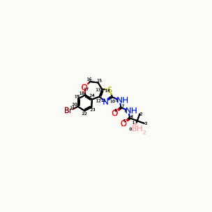 BC(C)(C)C(=O)NC(=O)Nc1nc2c(s1)CCOc1cc(Br)ccc1-2